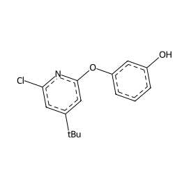 CC(C)(C)c1cc(Cl)nc(Oc2cccc(O)c2)c1